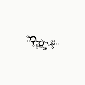 O=c1ccn(N2O[C@H](COP(=O)(O)O)[C@@H](O)[C@H]2O)c(=O)[nH]1